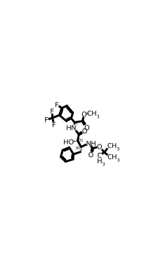 COC(=O)[C@H](NC(=O)[C@@H](O)[C@@H](Cc1ccccc1)NC(=O)OC(C)(C)C)c1ccc(F)c(C(F)(F)F)c1